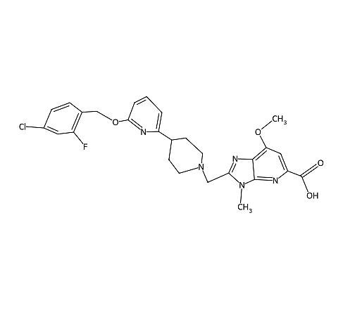 COc1cc(C(=O)O)nc2c1nc(CN1CCC(c3cccc(OCc4ccc(Cl)cc4F)n3)CC1)n2C